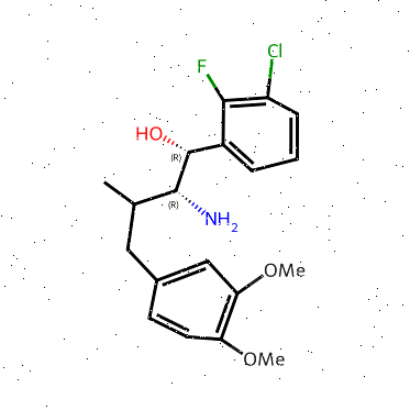 COc1ccc(CC(C)[C@@H](N)[C@H](O)c2cccc(Cl)c2F)cc1OC